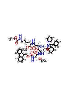 C[C@H](NC(=O)[C@H](CCC(=O)NC(c1ccccc1)(c1ccccc1)c1ccccc1)NC(=O)[C@H](COC(C)(C)C)NC(=O)OCC1c2ccccc2-c2ccccc21)C(=O)N[C@@H](CCCCNC(=O)OC(C)(C)C)C(=O)OC(C)(C)C